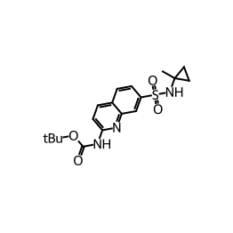 CC1(NS(=O)(=O)c2ccc3ccc(NC(=O)OC(C)(C)C)nc3c2)CC1